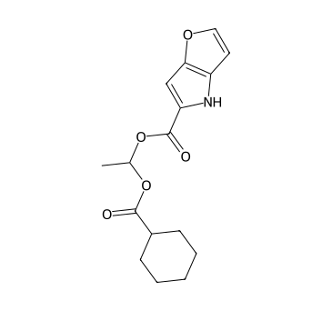 CC(OC(=O)c1cc2occc2[nH]1)OC(=O)C1CCCCC1